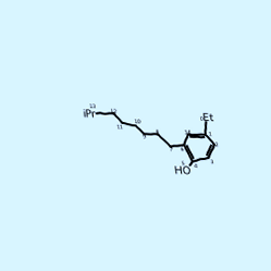 CCc1ccc(O)c(CCCCCCC(C)C)c1